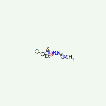 CCc1ccc(C2CCCCC2)cc1-c1csc(CC(=O)N2CCN(C[C@@H]3CCCN(C)C3)CC2)n1